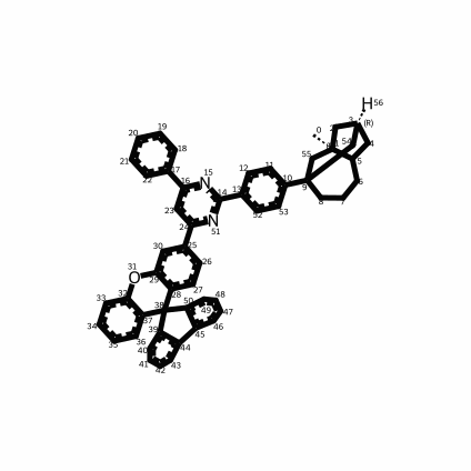 C[C@]12C[C@H]3CC1CCCC(c1ccc(-c4nc(-c5ccccc5)cc(-c5ccc6c(c5)Oc5ccccc5C65c6ccccc6-c6ccccc65)n4)cc1)(C3)C2